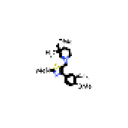 CNc1nc(-c2ccc(OC)c(C(F)(F)F)c2)c(CN2CCCC(C)(COC)C2)s1